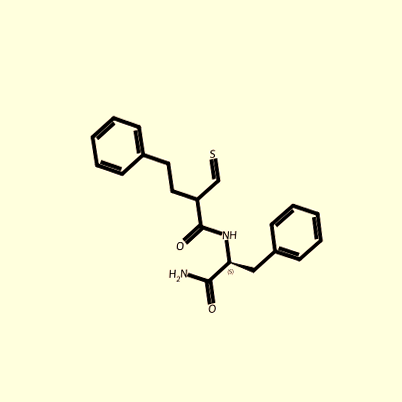 NC(=O)[C@H](Cc1ccccc1)NC(=O)C(C=S)CCc1ccccc1